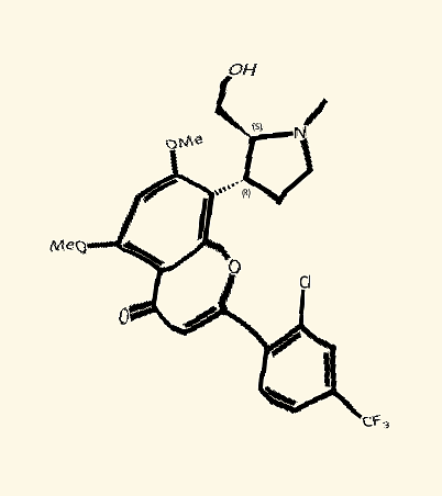 COc1cc(OC)c2c(=O)cc(-c3ccc(C(F)(F)F)cc3Cl)oc2c1[C@H]1CCN(C)[C@@H]1CO